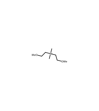 COCC[N+](C)(C)CCOC